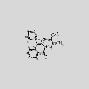 CC(Cn1cc(-c2ccccc2)c2ccccc2c1=O)N(C)C